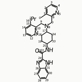 Cc1cccnc1CN(Cc1ncccc1C(C)C)C1CCC(NC(=O)c2nc3ccccc3[nH]2)CC1